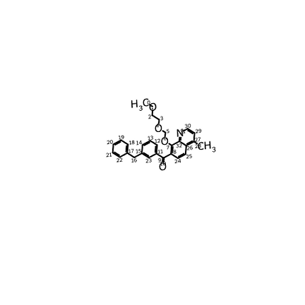 COCCOCOc1c(C(=O)c2cccc(Cc3ccccc3)c2)ccc2c(C)ccnc12